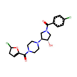 O=C(C1=CCC(Cl)O1)N1CCN([C@H]2CN(C(=O)c3ccc(Cl)cc3)C[C@@H]2O)CC1